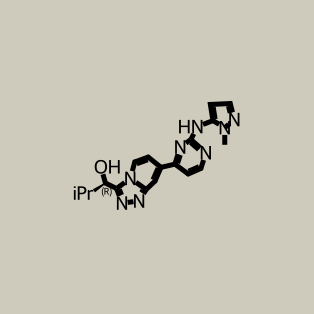 CC(C)[C@@H](O)c1nnc2cc(-c3ccnc(Nc4ccnn4C)n3)ccn12